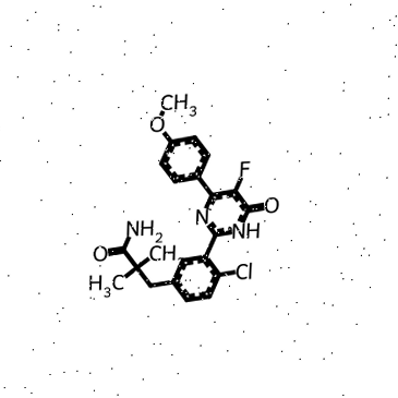 COc1ccc(-c2nc(-c3cc(CC(C)(C)C(N)=O)ccc3Cl)[nH]c(=O)c2F)cc1